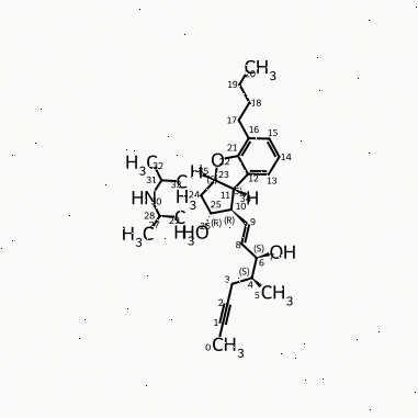 CC#CC[C@H](C)[C@H](O)C=C[C@@H]1[C@H]2c3cccc(CCCC)c3O[C@H]2C[C@H]1O.CC(C)NC(C)C